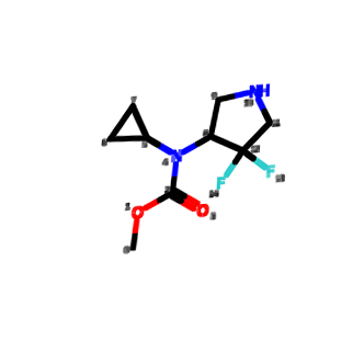 COC(=O)N(C1CC1)C1CNCC1(F)F